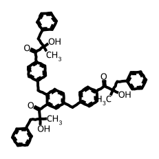 CC(O)(Cc1ccccc1)C(=O)c1ccc(Cc2ccc(Cc3ccc(C(=O)C(C)(O)Cc4ccccc4)cc3)c(C(=O)C(C)(O)Cc3ccccc3)c2)cc1